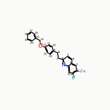 Fc1cc2ccc(CCc3ccc(OCc4ccccc4)cc3)nc2cc1F